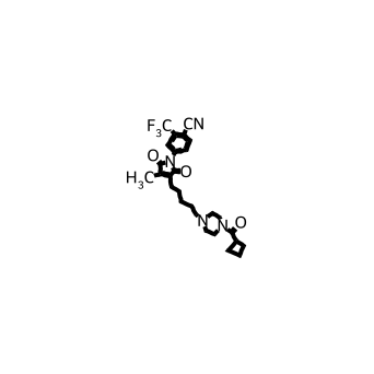 CC1=C(CCCCCN2CCN(C(=O)C3CCC3)CC2)C(=O)N(c2ccc(C#N)c(C(F)(F)F)c2)C1=O